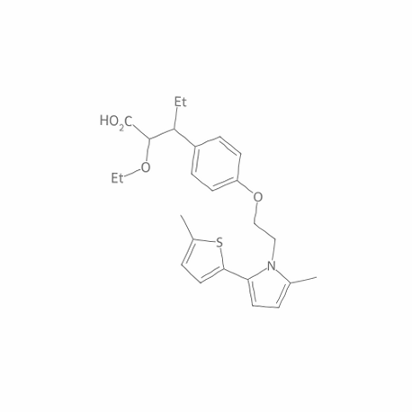 CCOC(C(=O)O)C(CC)c1ccc(OCCn2c(C)ccc2-c2ccc(C)s2)cc1